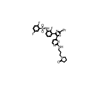 CC(C)c1nc(-c2cccc(NS(=O)(=O)c3cc(F)ccc3F)c2F)c(-c2ccnc(NCCCN3CCCC3=O)n2)s1